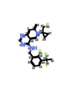 C=C1C=c2ncnc(NCc3cccc(C(C)(F)F)c3F)c2=CN1C1(CF)CC1